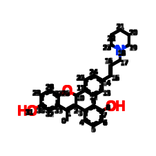 CC1=C(c2cccc(O)c2)C(c2ccc(/C=C/CN3CCCCC3)cc2)Oc2ccc(O)cc21